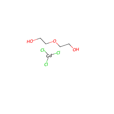 OCCOCCO.[Cl][Gd]([Cl])[Cl]